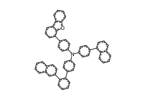 c1ccc(-c2ccc3ccccc3c2)c(-c2ccc(N(c3ccc(-c4cccc5ccccc45)cc3)c3ccc(-c4cccc5c4oc4ccccc45)cc3)cc2)c1